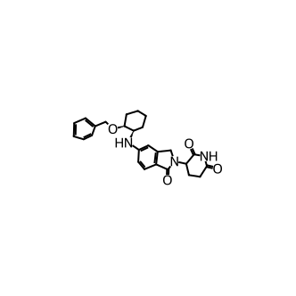 O=C1CCC(N2Cc3cc(N[C@@H]4CCCC[C@@H]4OCc4ccccc4)ccc3C2=O)C(=O)N1